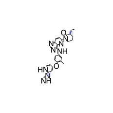 C/C=C1\CCCN(c2ccc3ncnc(Nc4ccc(Oc5cc[nH]/c(=N\C=N)c5)c(C)c4)c3n2)C1=O